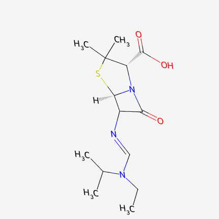 CCN(/C=N/C1C(=O)N2[C@@H]1SC(C)(C)[C@@H]2C(=O)O)C(C)C